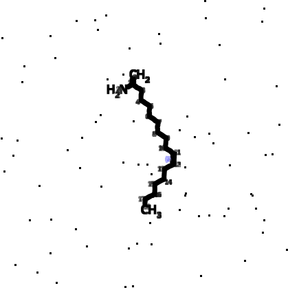 C=C(N)CCCCCCCC/C=C\CCCCCC